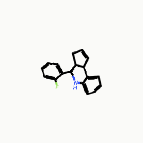 Fc1ccccc1C1Nc2ccccc2C2C=CCC21